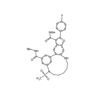 CNC(=O)c1c(-c2ccc(F)cc2)oc2cc3c(cc12)-c1cc(C(=O)NC(C)(C)C)cc(c1)N(S(C)(=O)=O)CCCCCN3